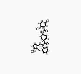 O=C(Nc1ccc(C(=O)N2Cc3ccc(Cl)n3Cc3ccccc32)cc1)c1cc(Cl)ccc1Cl